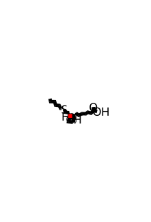 CCCCCCSCC[C@H]1[C@@H](CCCCCCC(=O)O)[C@H]2CC[C@@H]1O2